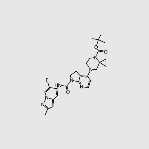 Cc1cc2cc(NC(=O)N3CCc4c(N5CCN(C(=O)OC(C)(C)C)C6(CC6)C5)ccnc43)c(F)cn2n1